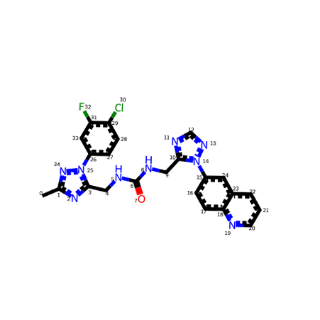 Cc1nc(CNC(=O)NCc2ncnn2-c2ccc3ncccc3c2)n(-c2ccc(Cl)c(F)c2)n1